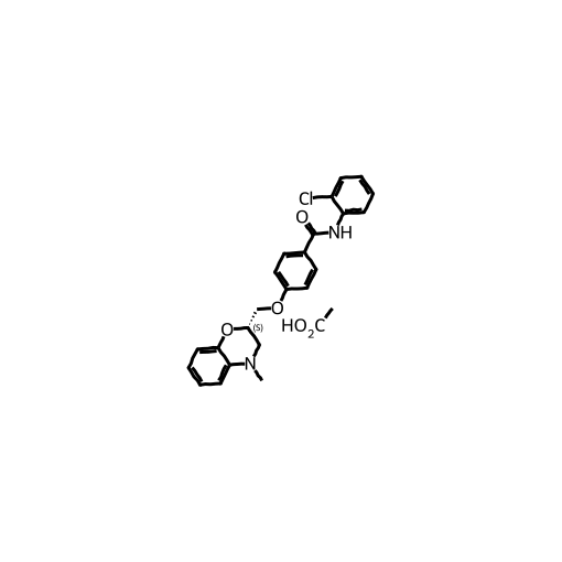 CC(=O)O.CN1C[C@@H](COc2ccc(C(=O)Nc3ccccc3Cl)cc2)Oc2ccccc21